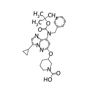 CC(C)(C)OC(=O)N(Cc1ccccc1)c1cc(OC2CCCN(C(=O)O)C2)nn2c(C3CC3)cnc12